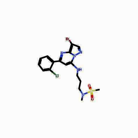 CN(CCCNc1cc(-c2ccccc2Cl)nc2c(Br)cnn12)S(C)(=O)=O